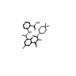 Cc1cc([C@@H](C)Nc2ccccc2C(=O)O)c2oc(N3CCC(C)(C)CC3)c(C)c(=O)c2c1